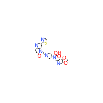 O=C(O)N(Cc1cc2c(cn1)OCCO2)C1CCN(CCn2c(=O)ccc3ncc(-c4nccs4)cc32)CC1